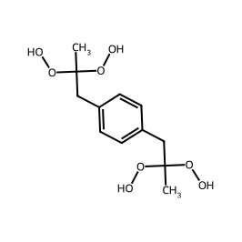 CC(Cc1ccc(CC(C)(OO)OO)cc1)(OO)OO